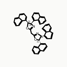 c1ccc2c([C@H]3N=C(CC4=N[C@H](c5cccc6ccccc56)[C@H](c5cccc6ccccc56)O4)O[C@H]3c3cccc4ccccc34)cccc2c1